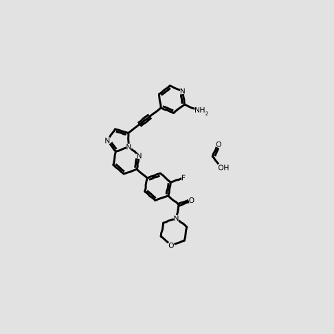 Nc1cc(C#Cc2cnc3ccc(-c4ccc(C(=O)N5CCOCC5)c(F)c4)nn23)ccn1.O=CO